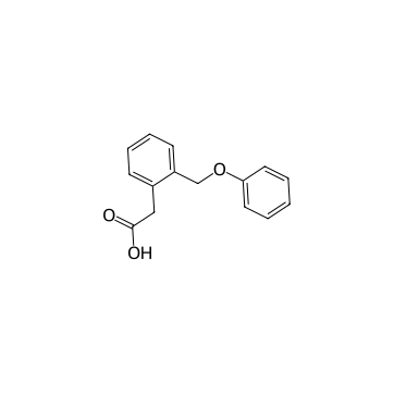 O=C(O)Cc1ccccc1COc1ccccc1